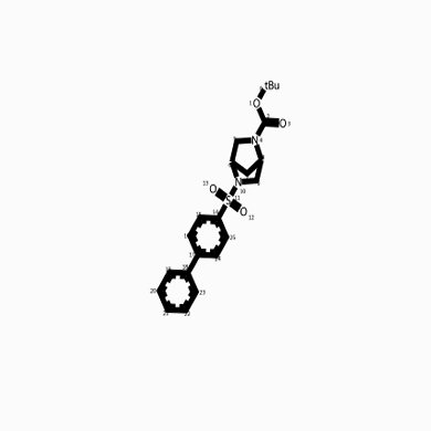 CC(C)(C)OC(=O)N1CC2CC1CN2S(=O)(=O)c1ccc(-c2ccccc2)cc1